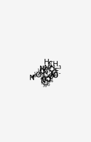 Cc1cc(F)c([N+](=O)[O-])cc1Nc1ncc(OCC#N)c(-c2cn3c4c(cccc24)CCC3)n1